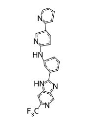 FC(F)(F)c1cc2[nH]c(-c3cccc(Nc4ccc(-c5ccccn5)cn4)c3)nc2cn1